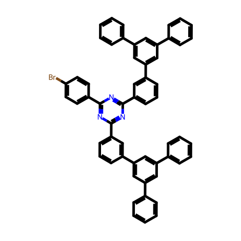 Brc1ccc(-c2nc(-c3cccc(-c4cc(-c5ccccc5)cc(-c5ccccc5)c4)c3)nc(-c3cccc(-c4cc(-c5ccccc5)cc(-c5ccccc5)c4)c3)n2)cc1